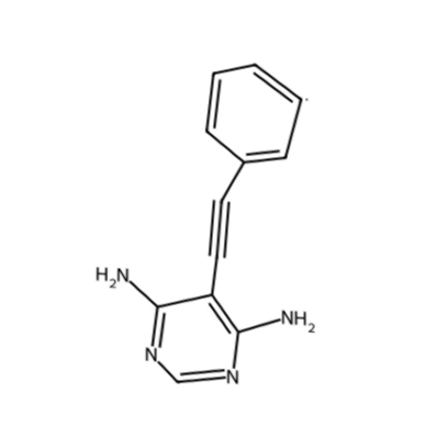 Nc1ncnc(N)c1C#Cc1c[c]ccc1